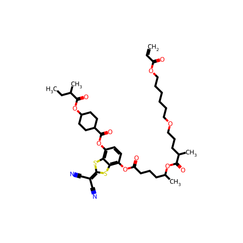 C=CC(=O)OCCCCCCOCCCC(C)C(=O)OC(C)CCCC(=O)Oc1ccc(OC(=O)C2CCC(OC(=O)C(C)CC)CC2)c2c1SC(=C(C#N)C#N)S2